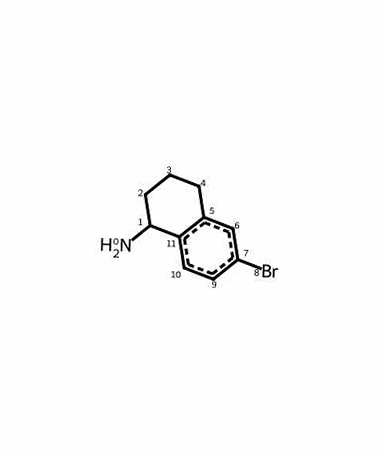 NC1CCCc2cc(Br)ccc21